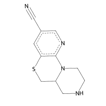 N#Cc1cnc2c(c1)SCC1CNCCN21